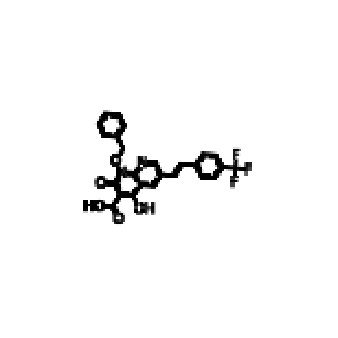 O=C(O)c1c(O)c2cc(/C=C/c3ccc(C(F)(F)F)cc3)cnc2n(OCc2ccccc2)c1=O